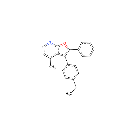 CCc1ccc(-c2c(-c3ccccc3)oc3nccc(C)c23)cc1